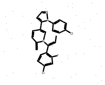 C=C1C=CC(c2ccnn2-c2ccc(Cl)cc2)=CN1/C(=C\C)c1ccc(Cl)cc1F